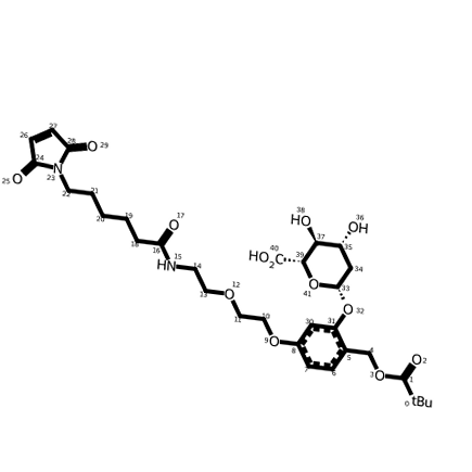 CC(C)(C)C(=O)OCc1ccc(OCCOCCNC(=O)CCCCCN2C(=O)C=CC2=O)cc1O[C@H]1C[C@@H](O)[C@H](O)[C@@H](C(=O)O)O1